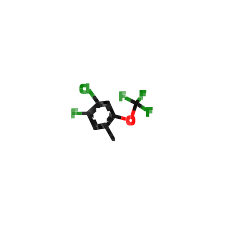 Cc1cc(F)c(Cl)cc1OC(F)(F)F